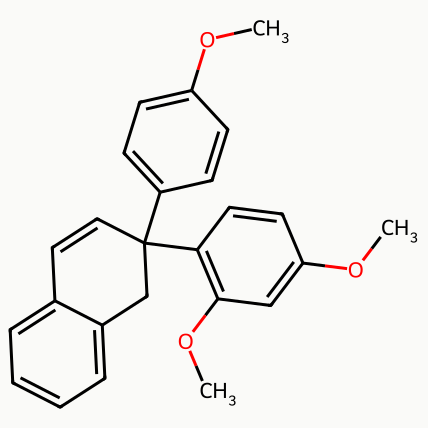 COc1ccc(C2(c3ccc(OC)cc3OC)C=Cc3ccccc3C2)cc1